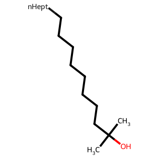 CCCCCCCCCCCCCCCC(C)(C)O